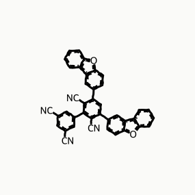 N#Cc1cc(C#N)cc(-c2c(C#N)c(-c3ccc4oc5ccccc5c4c3)cc(-c3ccc4oc5ccccc5c4c3)c2C#N)c1